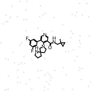 CC1(CNC(=O)c2cncc(-c3cc(F)cc(F)c3)c2N2CCC3(CCCN3)C2)CC1